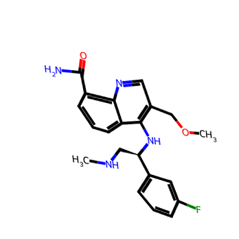 CNC[C@@H](Nc1c(COC)cnc2c(C(N)=O)cccc12)c1cccc(F)c1